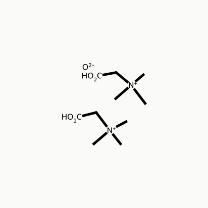 C[N+](C)(C)CC(=O)O.C[N+](C)(C)CC(=O)O.[O-2]